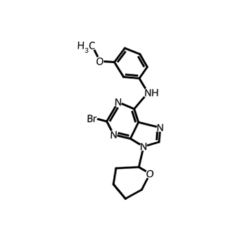 COc1cccc(Nc2nc(Br)nc3c2ncn3C2CCCCO2)c1